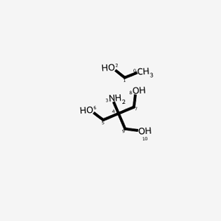 CCO.NC(CO)(CO)CO